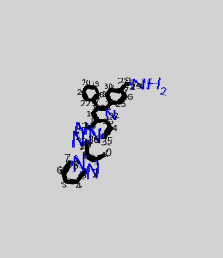 Cc1nc2ccccn2c1-c1nnc2c3cc(-c4ccccc4)c(-c4ccc(CN)cc4)nc3ccn12